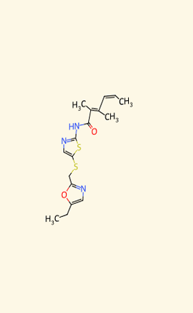 C/C=C\C(C)=C(/C)C(=O)Nc1ncc(SCc2ncc(CC)o2)s1